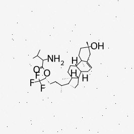 CC(C)C(N)C(=O)O[C@H](CC[C@@H](C)[C@H]1CC[C@H]2[C@@H]3CC=C4C[C@@](C)(O)CC[C@]4(C)[C@H]3CC[C@]12C)C(F)(F)F